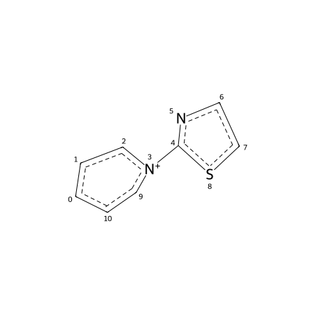 c1cc[n+](-c2nccs2)cc1